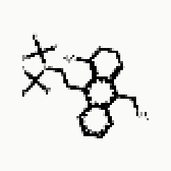 CCc1c2c(c(CCN(C(F)(F)F)C(F)(F)F)c3ccccc13)=C(C)CCC=2